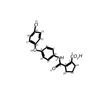 O=C(O)C1=C(C(=O)Nc2ccc(Oc3ccc(Cl)cc3)cc2)CCC1